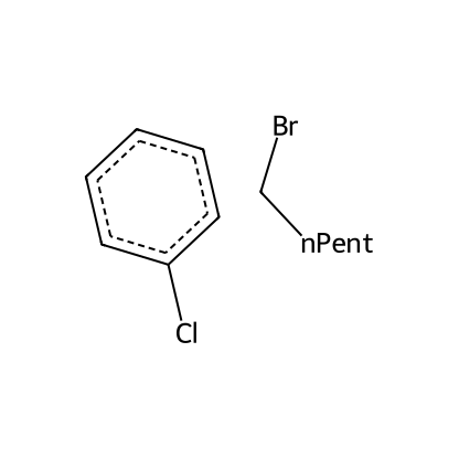 CCCCCCBr.Clc1ccccc1